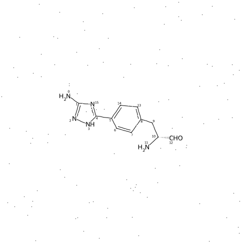 Nc1n[nH]c(-c2ccc(C[C@@H](N)C=O)cc2)n1